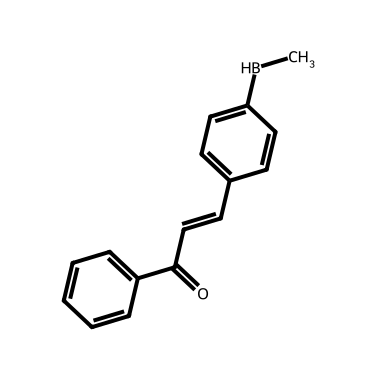 CBc1ccc(/C=C/C(=O)c2ccccc2)cc1